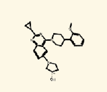 COc1ccccc1C1CCN(c2nc(C3CC3)nc3ccc(N4CC[C@H](O)C4)cc23)CC1